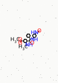 CNc1cc(C(=O)OC)ccc1/C(C=O)=C(/Nc1ccc(NC=O)cc1)c1ccccc1